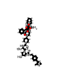 Cc1ncsc1-c1ccc(CNC(=O)[C@@H]2C[C@@H](O)CN2C(=O)[C@@H](NC(=O)N2CCC(N3CCC(c4cnc(N5C6CCC5CN(c5cc(-c7ccccc7O)nnc5N)C6)nc4)CC3)CC2)C(C)(C)C)cc1